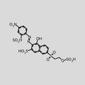 O=[N+]([O-])c1ccc(N=Nc2c(S(=O)(=O)O)cc3cc(S(=O)(=O)CCOS(=O)(=O)O)ccc3c2O)c(S(=O)(=O)O)c1